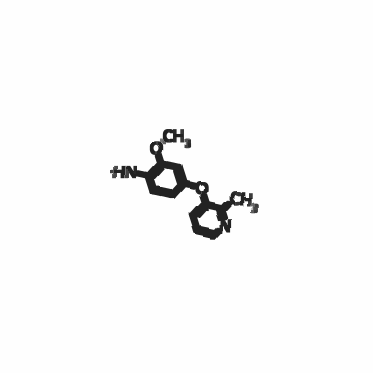 COc1cc(Oc2cccnc2C)ccc1[NH]